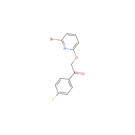 O=C(COc1cccc(Br)n1)c1ccc(F)cc1